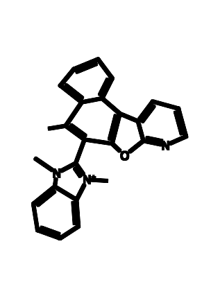 Cc1c(-c2n(C)c3ccccc3[n+]2C)c2oc3ncccc3c2c2ccccc12